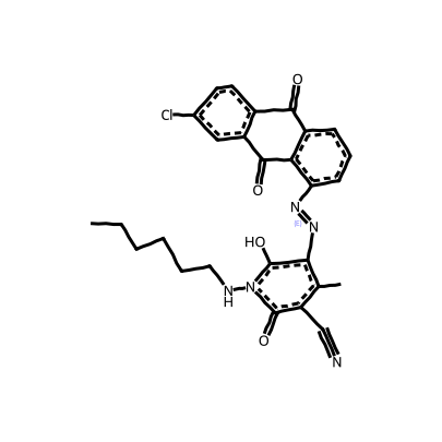 CCCCCCNn1c(O)c(/N=N/c2cccc3c2C(=O)c2cc(Cl)ccc2C3=O)c(C)c(C#N)c1=O